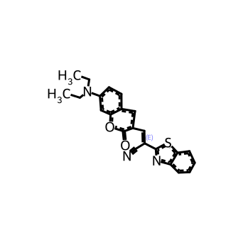 CCN(CC)c1ccc2cc(/C=C(\C#N)c3nc4ccccc4s3)c(=O)oc2c1